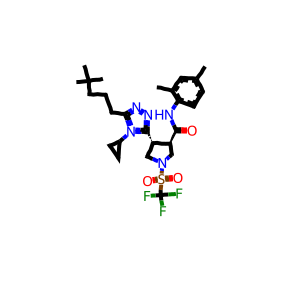 Cc1ccc(NC(=O)[C@H]2CN(S(=O)(=O)C(F)(F)F)C[C@@H]2c2nnc(CCCC(C)(C)C)n2C2CC2)c(C)c1